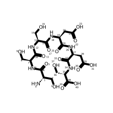 N[C@@H](CO)C(=O)N[C@@H](CO)C(=O)N[C@@H](CO)C(=O)N[C@@H](CC(=O)O)C(=O)N[C@@H](CC(=O)O)C(=O)N[C@@H](CO)C(=O)O